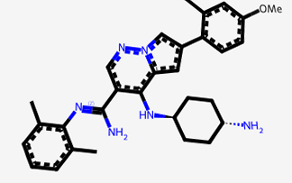 COc1ccc(-c2cc3c(N[C@H]4CC[C@H](N)CC4)c(/C(N)=N/c4c(C)cccc4C)cnn3c2)c(C)c1